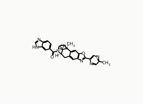 Cc1cnc(-c2nc3cc4c(cc3o2)[C@]2(C)CCN(C(=O)c3ccc5nc[nH]c5c3)[C@H](C4)[C@H]2C)cn1